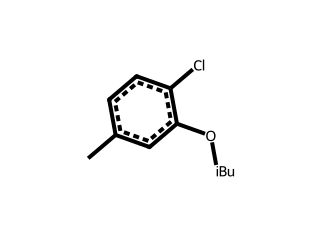 CCC(C)Oc1cc(C)ccc1Cl